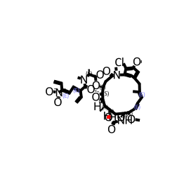 C=C/C(=C\C=C(/C=C)[N+](=O)[O-])C(=O)N(C)[C@@H](C)C(=O)O[C@H]1CC(=O)N(C)c2cc(cc(OC)c2Cl)C/C(C)=C/C=C/[C@@H](OC)[C@@]2(O)C[C@H](OC(=O)N2)[C@@H](C)[C@@H]2O[C@@]12C